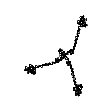 CC(=O)N[C@H]1[C@@H]2OC[C@](COCCOCCOCCOCCCCn3cc(COCC(COCc4cn(CCOCCOCCOCCOC[C@@]56CO[C@H](O5)[C@H](NC(C)=O)[C@H]5OC(C)(C)O[C@H]56)nn4)(COCc4cn(CCOCCOCCOCCOC[C@@]56CO[C@@H](O5)[C@H](NC(C)=O)[C@H]5OC(C)(C)O[C@H]56)nn4)NC(=O)OC(C)(C)C)nn3)(O2)[C@@H]2OC(C)(C)O[C@H]12